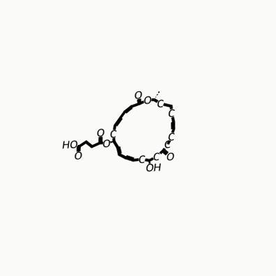 C[C@@H]1CCC/C=C/CCC(=O)C[C@@H](O)C/C=C\C=C\[C@@H](OC(=O)CCC(=O)O)C/C=C/C=C\C(=O)O1